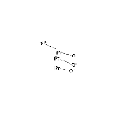 CC(C)[O-].CC(C)[O-].CC(C)[O-].[CH3][Ti+3]